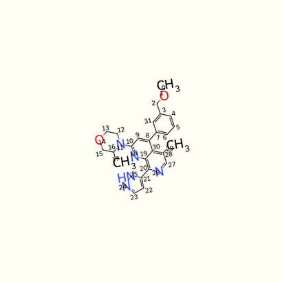 COCc1cccc(-c2cc(N3CCOCC3C)nc3c(-c4ccn[nH]4)ncc(C)c23)c1